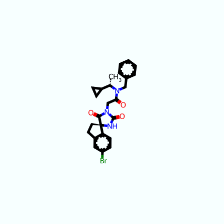 C[C@@H](C1CC1)N(Cc1ccccc1)C(=O)CN1C(=O)N[C@@]2(CCc3cc(Br)ccc32)C1=O